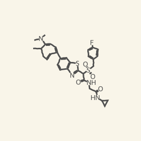 CC1C/C=C/C(c2ccc3nc(C(C(=O)NCC(=O)NC4CC4)S(=O)(=O)Cc4ccc(F)cc4)sc3c2)=C\C=C/1N(C)C